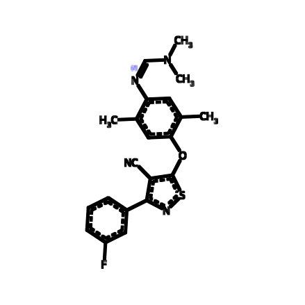 Cc1cc(Oc2snc(-c3cccc(F)c3)c2C#N)c(C)cc1/N=C\N(C)C